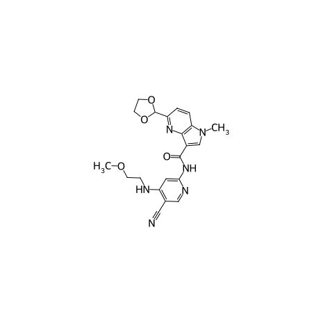 COCCNc1cc(NC(=O)c2cn(C)c3ccc(C4OCCO4)nc23)ncc1C#N